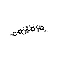 Cc1c(C(=O)Nc2cc(C(F)(F)F)ccn2)ccc(-c2nn3c(c2C#N)Nc2ccc(N4CCNCC4)cc2CC3)c1F